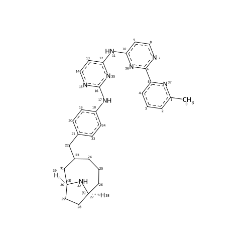 Cc1cccc(-c2nccc(Nc3ccnc(Nc4ccc(CC5CCC[C@H]6CC[C@@H](C5)N6)cc4)n3)n2)n1